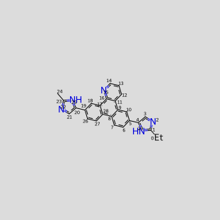 CCc1ncc(-c2ccc3c(c2)c2cccnc2c2cc(-c4cnc(C)[nH]4)ccc32)[nH]1